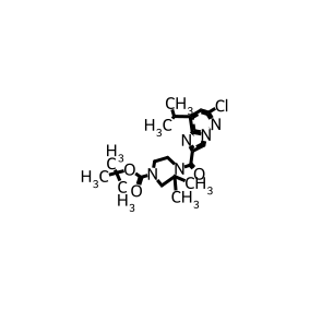 CC(C)c1cc(Cl)nn2cc(C(=O)N3CCN(C(=O)OC(C)(C)C)CC3(C)C)nc12